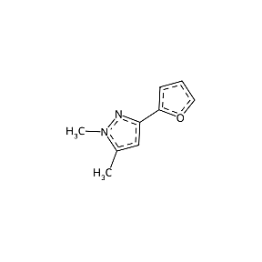 Cc1cc(-c2ccco2)nn1C